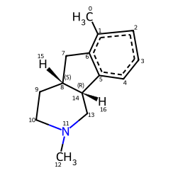 Cc1cccc2c1C[C@H]1CCN(C)C[C@@H]21